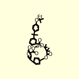 CCC(C)(C)Oc1ccc(C(C)(C)c2ccc3c(c2)C(=O)OC(C)(C)C(C)(C)C(=O)Oc2ccc(cc2)-c2ccc(c(C(=O)OC(C)C)c2)O3)cc1